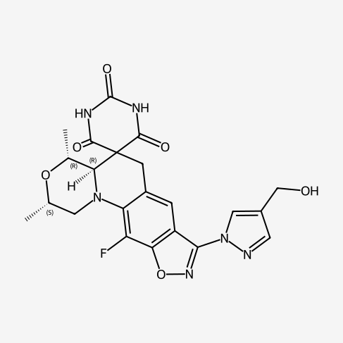 C[C@H]1CN2c3c(cc4c(-n5cc(CO)cn5)noc4c3F)CC3(C(=O)NC(=O)NC3=O)[C@@H]2[C@@H](C)O1